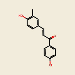 Cc1cc(C=CC(=O)c2ccc(O)cc2)ccc1O